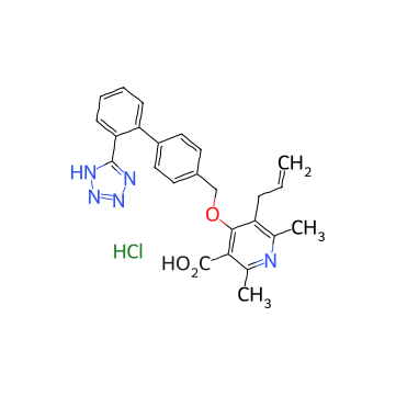 C=CCc1c(C)nc(C)c(C(=O)O)c1OCc1ccc(-c2ccccc2-c2nnn[nH]2)cc1.Cl